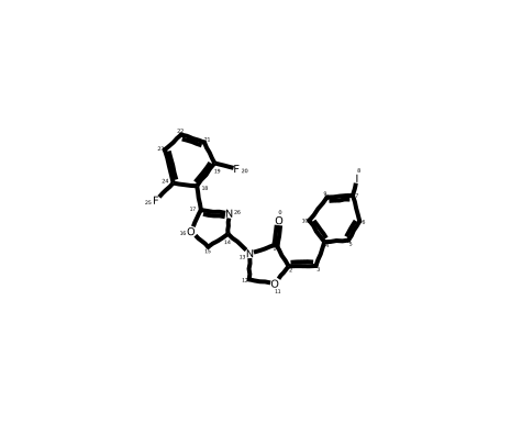 O=C1/C(=C\c2ccc(I)cc2)OCN1C1COC(c2c(F)cccc2F)=N1